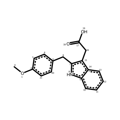 COc1ccc(Cc2[nH]c3ccccc3c2CC(=O)O)cc1